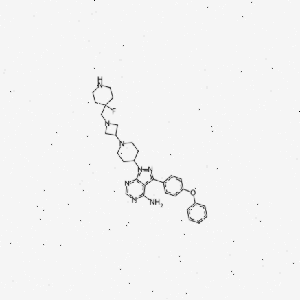 Nc1ncnc2c1c(-c1ccc(Oc3ccccc3)cc1)nn2C1CCN(C2CN(CC3(F)CCNCC3)C2)CC1